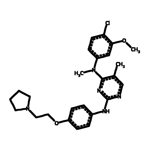 COc1cc(N(C)c2nc(Nc3ccc(OCCN4CCCC4)cc3)ncc2C)ccc1Cl